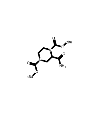 CC(C)(C)OC(=O)N1CCN(C(=O)OC(C)(C)C)C(C(N)=O)C1